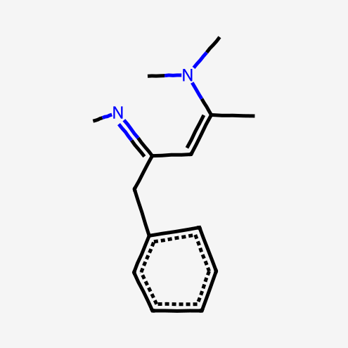 C/N=C(/C=C(/C)N(C)C)Cc1ccccc1